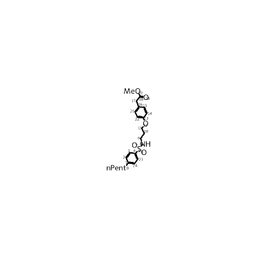 CCCCCc1ccc(S(=O)(=O)NCCCOc2ccc(CC(=O)OC)cc2)cc1